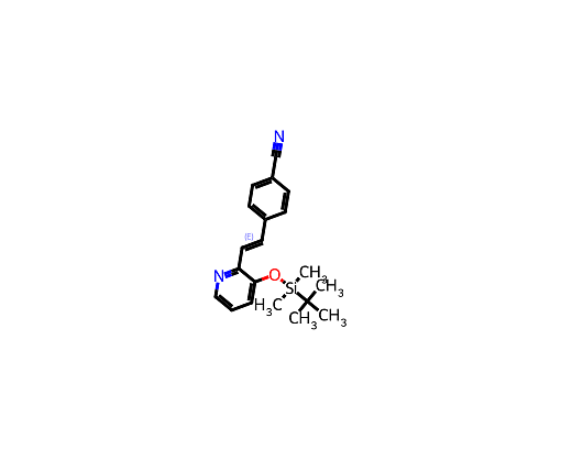 CC(C)(C)[Si](C)(C)Oc1cccnc1/C=C/c1ccc(C#N)cc1